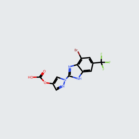 O=C(O)Oc1cnn(-c2nc3c(Br)cc(C(F)(F)F)cc3[nH]2)c1